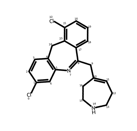 Clc1ccc2c(c1)N=C(CC1=CCCNCC1)c1cccc(Cl)c1C2